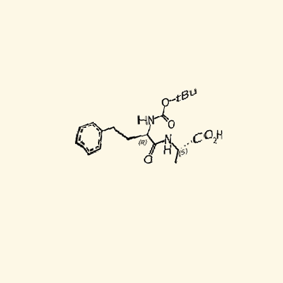 C[C@H](NC(=O)[C@@H](CCc1ccccc1)NC(=O)OC(C)(C)C)C(=O)O